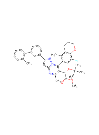 COC(=O)[C@@H](OC(C)(C)C)c1c(C)nc2cc(-c3cccc(-c4ccccc4C)c3)nn2c1-c1cc(F)c2c(c1C)CCCO2